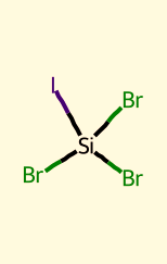 Br[Si](Br)(Br)I